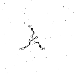 C#CCOP(=O)(OCC#C)OCC#C